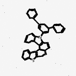 c1ccc(-c2cc(-c3ccccc3)cc(-n3c4ccccc4c4c5c(ccc6sc7ccccc7c65)ccc43)c2)cc1